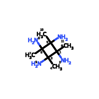 CC1(N)C(C)(N)C(C)(N)C1(C)N